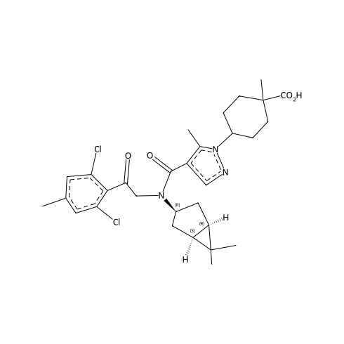 Cc1cc(Cl)c(C(=O)CN(C(=O)c2cnn(C3CCC(C)(C(=O)O)CC3)c2C)[C@H]2C[C@@H]3[C@H](C2)C3(C)C)c(Cl)c1